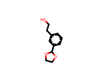 OCCc1cccc(C2OCCO2)c1